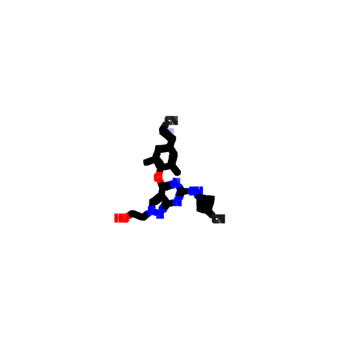 Cc1cc(/C=C/C#N)cc(C)c1Oc1nc(NC23CC(C#N)(C2)C3)nc2nn(CCO)cc12